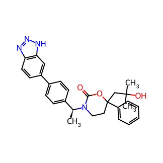 C[C@@H](c1ccc(-c2ccc3nn[nH]c3c2)cc1)N1CCC(CC(C)(C)O)(c2ccccc2)OC1=O